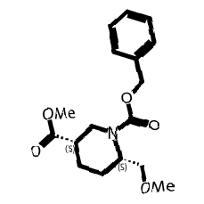 COC[C@@H]1CC[C@H](C(=O)OC)CN1C(=O)OCc1ccccc1